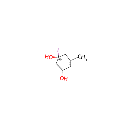 CC1=CC(O)=C[C@](O)(I)C1